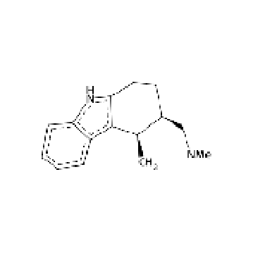 CNC[C@@H]1CCc2[nH]c3ccccc3c2[C@@H]1C